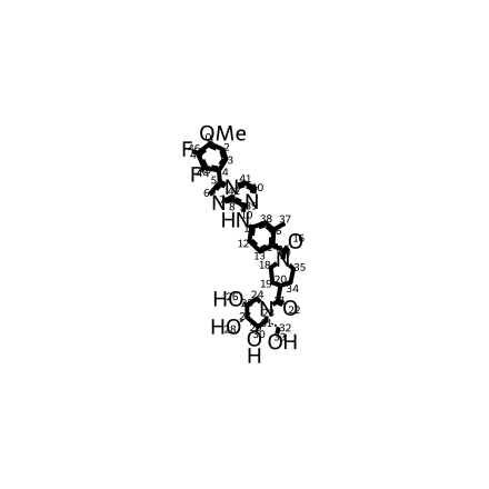 COc1ccc(-c2cnc3c(Nc4ccc(C(=O)N5CCC(C(=O)N6C[C@H](O)[C@@H](O)[C@H](O)[C@H]6CO)CC5)c(C)c4)nccn23)c(F)c1F